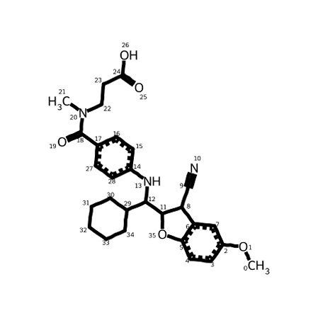 COc1ccc2c(c1)C(C#N)C(C(Nc1ccc(C(=O)N(C)CCC(=O)O)cc1)C1CCCCC1)O2